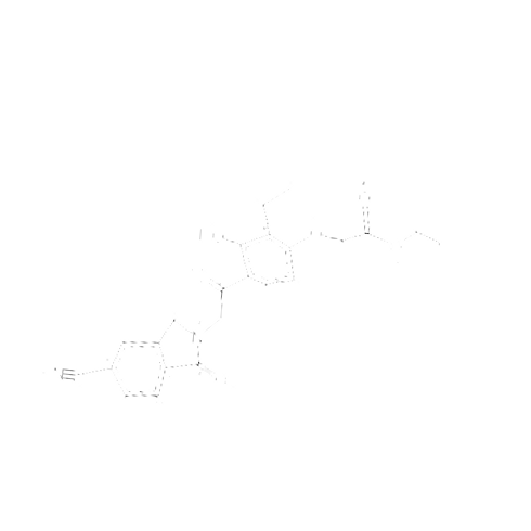 CCOC(=O)COc1ccc(C(=O)CN2Cc3cc(C#N)ccc3C2=O)c(O)c1CC